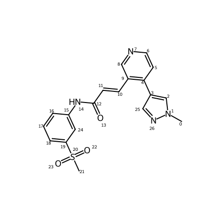 Cn1cc(-c2ccncc2C=CC(=O)Nc2cccc(S(C)(=O)=O)c2)cn1